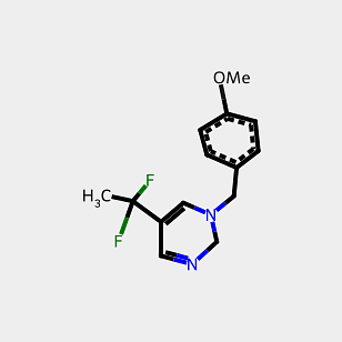 COc1ccc(CN2C=C(C(C)(F)F)C=NC2)cc1